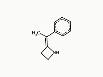 CC(=C1CCN1)c1ccccc1